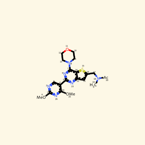 COc1ncc(-c2nc(N3CCOCC3)c3sc(CN(C)C(C)=O)cc3n2)c(OC)n1